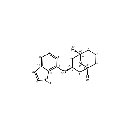 c1cc(O[C@@H]2C[C@H]3CCC[C@@H](C2)N3)c2occc2c1